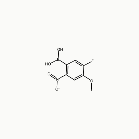 COc1cc([N+](=O)[O-])c(B(O)O)cc1F